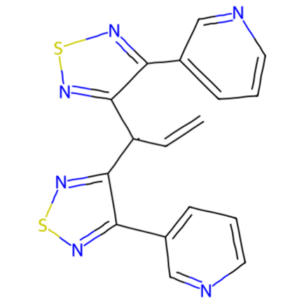 C=C[C](c1nsnc1-c1cccnc1)c1nsnc1-c1cccnc1